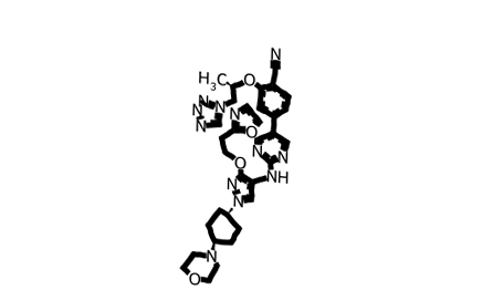 C[C@@H](Cn1cnnn1)Oc1cc(-c2cnc(Nc3cn([C@H]4CC[C@H](N5CCOCC5)CC4)nc3OCCc3ncco3)nc2)ccc1C#N